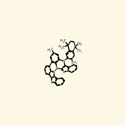 Cc1cc2c3c(c1)N(c1cc4c(cc1C)C(C)(C)CCC4(C)C)c1c(sc4ccccc14)B3n1c3c-2cccc3c2sc3ccccc3c21